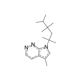 Cc1cn(C(C)(C)CC(C)(C)C(C)C)c2nnccc12